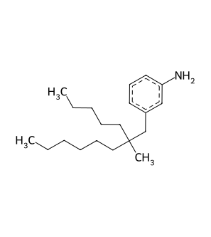 CCCCCCC(C)(CCCCC)Cc1cccc(N)c1